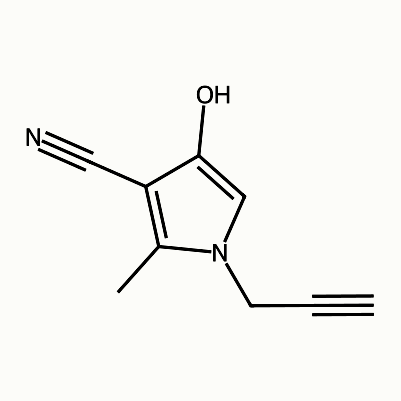 C#CCn1cc(O)c(C#N)c1C